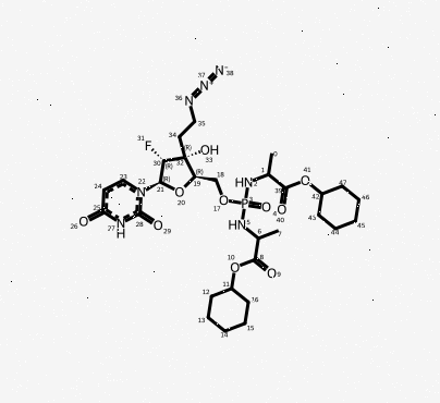 CC(NP(=O)(NC(C)C(=O)OC1CCCCC1)OC[C@H]1O[C@@H](n2ccc(=O)[nH]c2=O)[C@H](F)[C@@]1(O)CCN=[N+]=[N-])C(=O)OC1CCCCC1